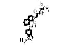 CC(NC(=O)Cn1ccc2cccc(Nc3ccc4c(cnn4C)c3)c2c1=O)C(F)(F)F